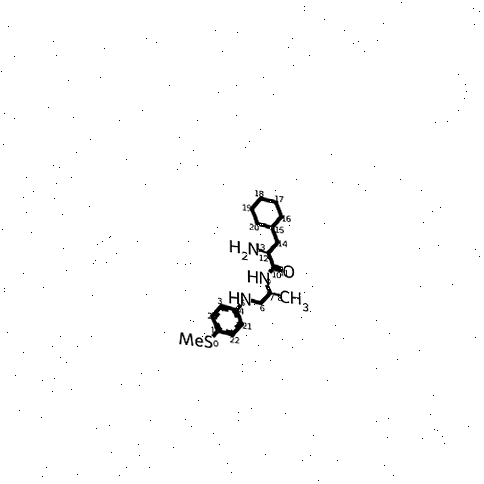 CSc1ccc(NC[C@H](C)NC(=O)[C@@H](N)CC2CCCCC2)cc1